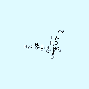 O.O.O.O.O.O.O=[N+]([O-])[O-].[Cs+]